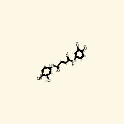 O=C(C=CC(=O)Nc1ccc(Cl)c(Cl)c1)Nc1ccc(Cl)c(Cl)c1